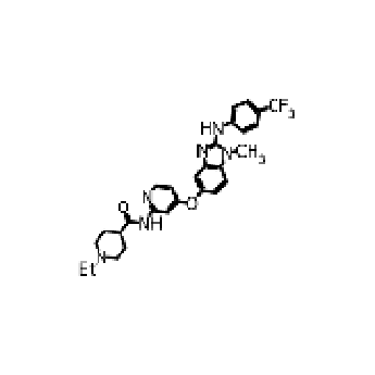 CCN1CCC(C(=O)Nc2cc(Oc3ccc4c(c3)nc(Nc3ccc(C(F)(F)F)cc3)n4C)ccn2)CC1